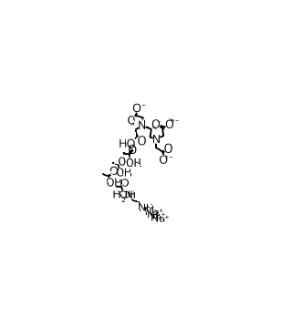 CC(=O)O.CC(=O)O.CC(=O)O.CC(=O)O.NCCN.O=C([O-])CN(CCN(CC(=O)[O-])CC(=O)O)CC(=O)[O-].[Na+].[Na+].[Na+]